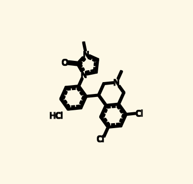 CN1Cc2c(Cl)cc(Cl)cc2C(c2ccccc2-n2ccn(C)c2=O)C1.Cl